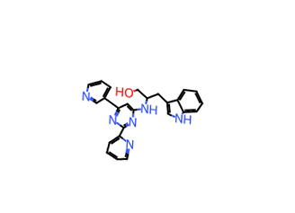 OCC(Cc1c[nH]c2ccccc12)Nc1cc(-c2cccnc2)nc(-c2ccccn2)n1